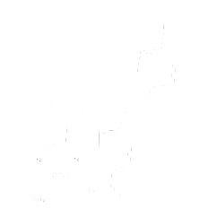 CCOC(=O)c1nc(-c2ccccc2-c2cc(C(F)(F)F)ccc2OCc2ccc(F)cc2)cnc1N